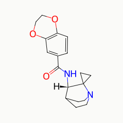 O=C(N[C@H]1C2CCN(CC2)C12CC2)c1ccc2c(c1)OCCO2